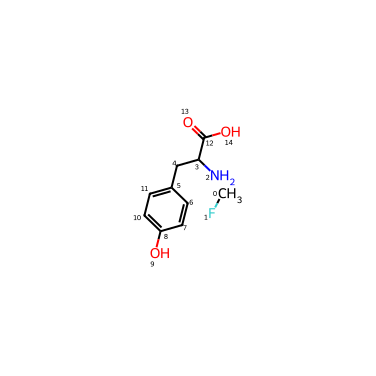 CF.NC(Cc1ccc(O)cc1)C(=O)O